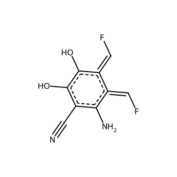 N#Cc1c(O)c(O)c(=CF)c(=CF)c1N